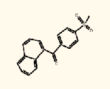 CS(=O)(=O)c1ccc(C(=O)c2cccc3ccccc23)cc1